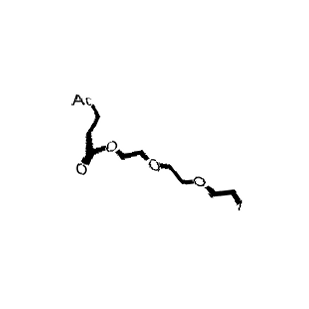 CC(=O)CCC(=O)OCCOCCOCCI